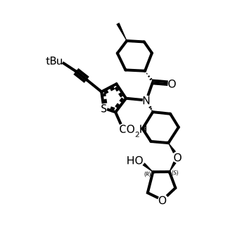 CC(C)(C)C#Cc1cc(N(C(=O)[C@H]2CC[C@H](C)CC2)[C@H]2CC[C@H](O[C@H]3COC[C@H]3O)CC2)c(C(=O)O)s1